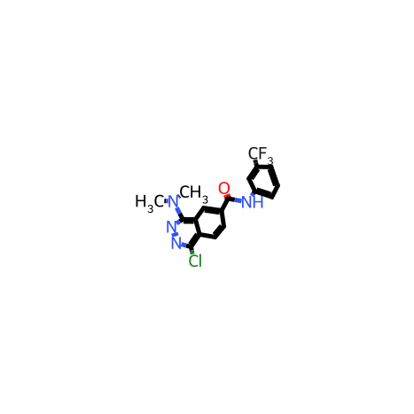 CN(C)c1nnc(Cl)c2ccc(C(=O)Nc3cccc(C(F)(F)F)c3)cc12